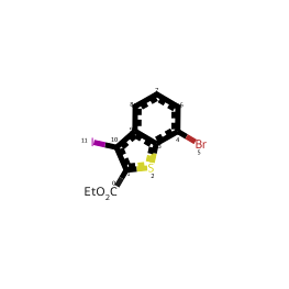 CCOC(=O)c1sc2c(Br)cccc2c1I